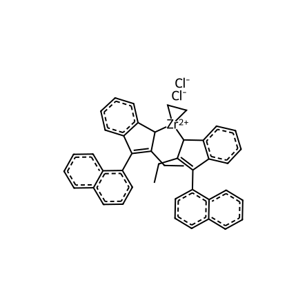 CCC1=C(c2cccc3ccccc23)c2ccccc2[CH]1[Zr+2]1([CH]2C(CC)=C(c3cccc4ccccc34)c3ccccc32)[CH2][CH2]1.[Cl-].[Cl-]